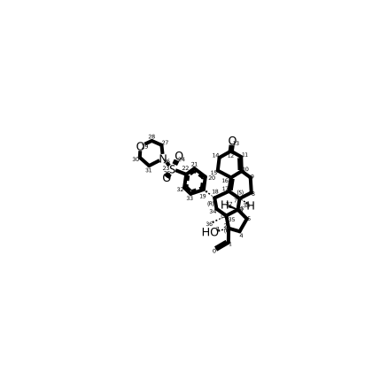 C=C[C@]1(O)CC[C@H]2[C@@H]3CCC4=CC(=O)CCC4=C3[C@@H](c3ccc(S(=O)(=O)N4CCOCC4)cc3)C[C@@]21C